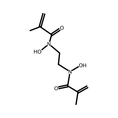 C=C(C)C(=O)N(O)CCN(O)C(=O)C(=C)C